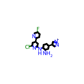 Cn1cc(-c2ccc(Nc3cc(-c4ccc(F)cn4)cc(Cl)n3)c(N)c2)cn1